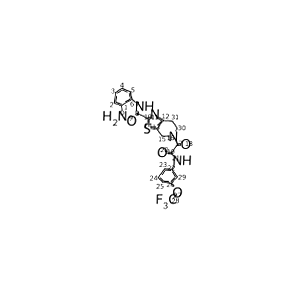 Nc1ccccc1NC(=O)c1nc2c(s1)CN(C(=O)C(=O)Nc1cccc(OC(F)(F)F)c1)CC2